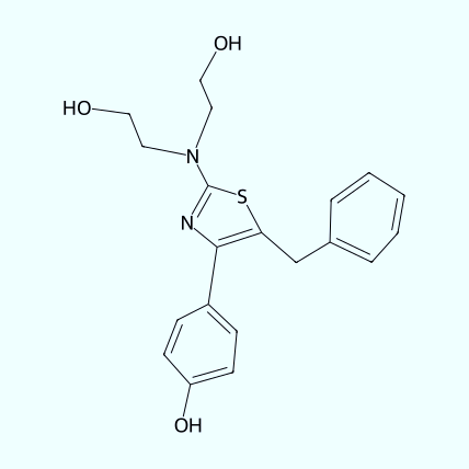 OCCN(CCO)c1nc(-c2ccc(O)cc2)c(Cc2ccccc2)s1